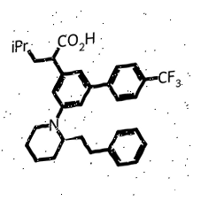 CC(C)CC(C(=O)O)c1cc(-c2ccc(C(F)(F)F)cc2)cc(N2CCCC[C@@H]2CCc2ccccc2)c1